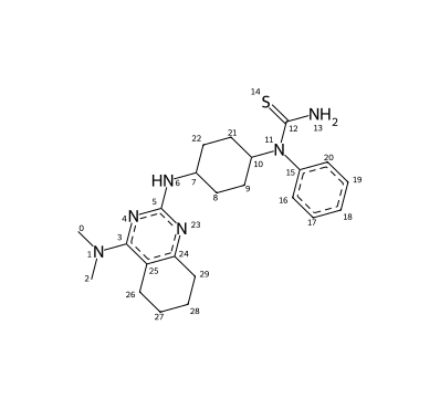 CN(C)c1nc(NC2CCC(N(C(N)=S)c3ccccc3)CC2)nc2c1CCCC2